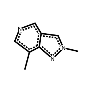 Cc1cncc2cn(C)nc12